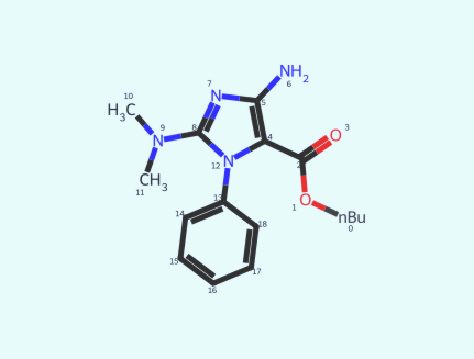 CCCCOC(=O)c1c(N)nc(N(C)C)n1-c1ccccc1